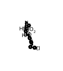 CN(C)CCCC(Nc1ccc(S(=O)(=O)NC(=O)c2ccc(N3CCN(Cc4ccccc4-c4ccc(Cl)cc4)CC3)cc2)cc1[N+](=O)[O-])Sc1ccccc1